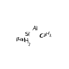 [Al].[BaH2].[CaH2].[Si]